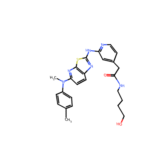 Cc1ccc(N(C)c2ccc3nc(Nc4cc(CC(=O)NCCCCO)ccn4)sc3n2)cc1